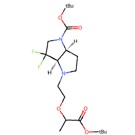 CC(OCCN1CC[C@H]2[C@@H]1C(F)(F)CN2C(=O)OC(C)(C)C)C(=O)OC(C)(C)C